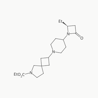 CCOC(=O)N1CCC2(CC(N3CCC(N4C(=O)C[C@@H]4CC)CC3)C2)C1